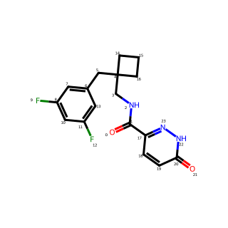 O=C(NCC1(Cc2cc(F)cc(F)c2)CCC1)c1ccc(=O)[nH]n1